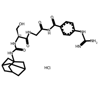 Cl.N=C(N)Nc1ccc(C(=O)NC(=O)CNC(=O)[C@H](CO)NC(=O)NC23CC4CC(CC(C4)C2)C3)cc1